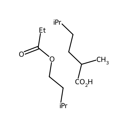 CC(C)CCC(C)C(=O)O.CCC(=O)OCCC(C)C